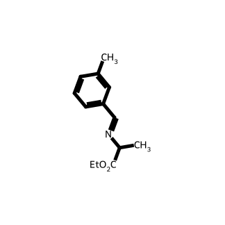 CCOC(=O)C(C)N=Cc1cccc(C)c1